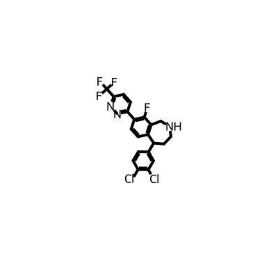 Fc1c(-c2ccc(C(F)(F)F)nn2)ccc2c1CNCCC2c1ccc(Cl)c(Cl)c1